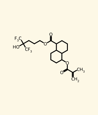 C=C(C)C(=O)OC1CCCC2C(C(=O)OCCCC(O)(C(F)(F)F)C(F)(F)F)CCCC12